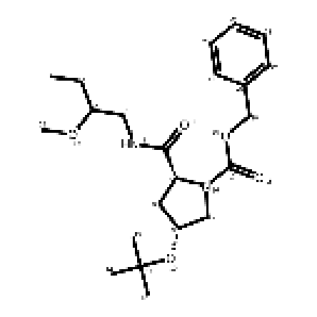 CCC(CNC(=O)[C@@H]1C[C@@H](OC(C)(C)C)CN1C(=O)OCc1ccccc1)OC